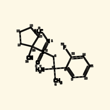 CN=S(=O)(CC(C)(N)c1ccccc1F)C1(C#N)CCCC1